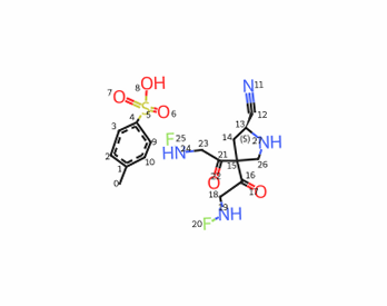 Cc1ccc(S(=O)(=O)O)cc1.N#C[C@@H]1CC(C(=O)CNF)(C(=O)CNF)CN1